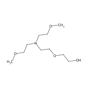 COCCN(CCOC)CCOCCO